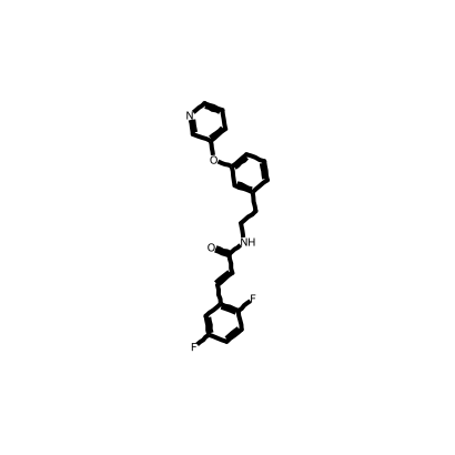 O=C(C=Cc1cc(F)ccc1F)NCCc1cccc(Oc2cccnc2)c1